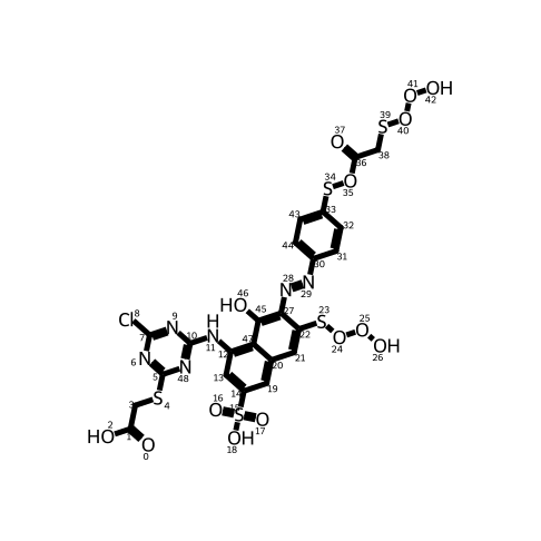 O=C(O)CSc1nc(Cl)nc(Nc2cc(S(=O)(=O)O)cc3cc(SOOO)c(N=Nc4ccc(SOC(=O)CSOOO)cc4)c(O)c23)n1